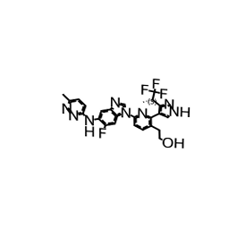 Cc1ccc(Nc2cc3ncn(-c4ccc(CCO)c(-c5c[nH]nc5[C@H](C)C(F)(F)F)n4)c3cc2F)nn1